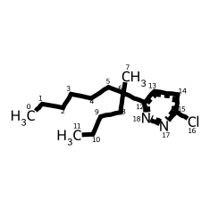 CCCCCCC(C)(CCCC)c1ccc(Cl)nn1